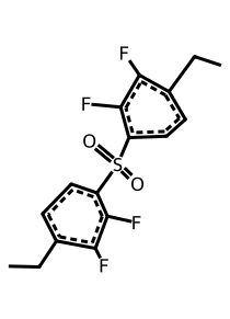 CCc1ccc(S(=O)(=O)c2ccc(CC)c(F)c2F)c(F)c1F